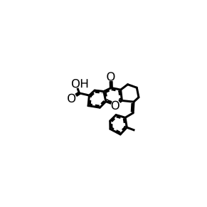 Cc1ccccc1/C=C1/CCCc2c1oc1ccc(C(=O)O)cc1c2=O